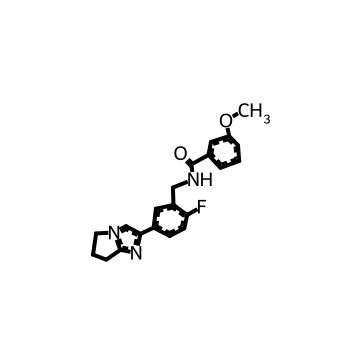 COc1cccc(C(=O)NCc2cc(-c3cn4c(n3)CCC4)ccc2F)c1